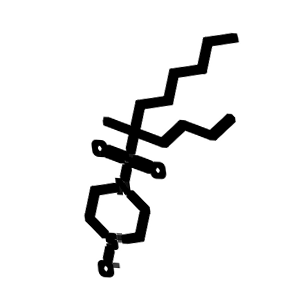 CCCCCCC(C)(CCCC)S(=O)(=O)N1CC[S+]([O-])CC1